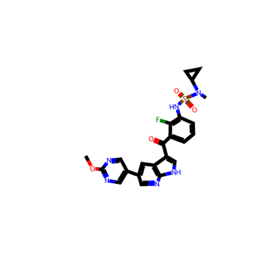 COc1ncc(-c2cnc3[nH]cc(C(=O)c4cccc(NS(=O)(=O)N(C)C5CC5)c4F)c3c2)cn1